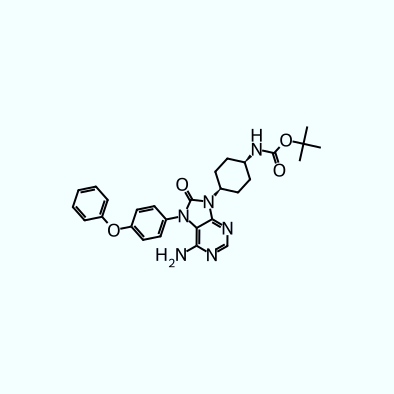 CC(C)(C)OC(=O)N[C@H]1CC[C@@H](n2c(=O)n(-c3ccc(Oc4ccccc4)cc3)c3c(N)ncnc32)CC1